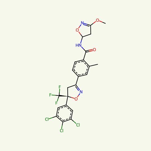 COC1=NOC(NC(=O)c2ccc(C3=NO[C@@](c4cc(Cl)c(Cl)c(Cl)c4)(C(F)(F)F)C3)cc2C)C1